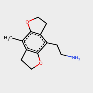 Cc1c2c(c(CCN)c3c1OCC3)OCC2